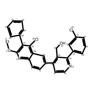 CCOc1nc2ccc(-c3ccnc(-c4cccc(Cl)c4)c3CO)cc2c(Cl)c1-c1ccccc1